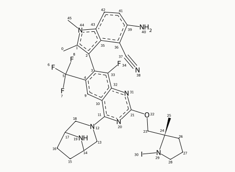 Cc1c(-c2c(C(F)(F)F)cc3c(N4CC5CCC(C4)N5)nc(OC[C@]4(C)CCCN4I)nc3c2F)c2c(C#N)c(N)ccc2n1C